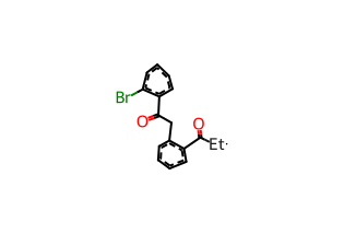 C[CH]C(=O)c1ccccc1CC(=O)c1ccccc1Br